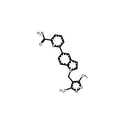 Cc1noc(C)c1Cn1ccc2cc(-c3cccc(C(N)=O)n3)ccc21